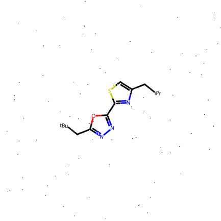 CC(C)Cc1csc(-c2nnc(CC(C)(C)C)o2)n1